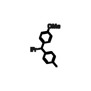 COc1ccc(C(c2ccc(C)cc2)C(C)C)cc1